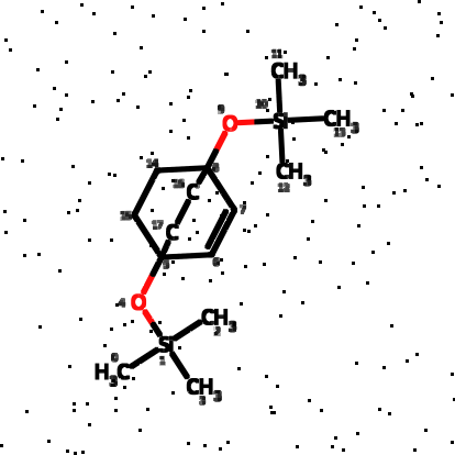 C[Si](C)(C)OC12C=CC(O[Si](C)(C)C)(CC1)CC2